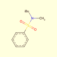 CCC(C)N(C)S(=O)(=O)c1ccccc1